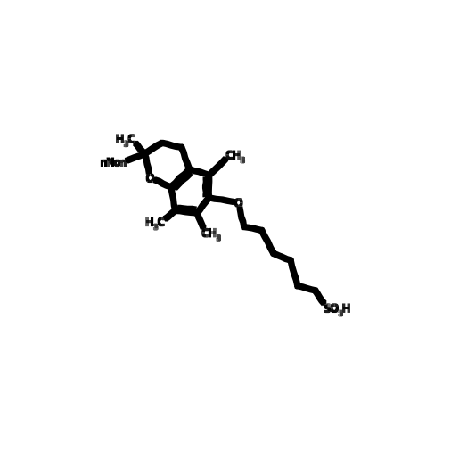 CCCCCCCCCC1(C)CCc2c(C)c(OCCCCCCS(=O)(=O)O)c(C)c(C)c2O1